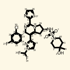 CC1(O)CCN(S(=O)(=O)N[C@H]2CC3=C(c4ccn(C(F)F)n4)[C@H](c4ccc(F)cc4Cl)N=C(c4nccs4)N3C2)CC1